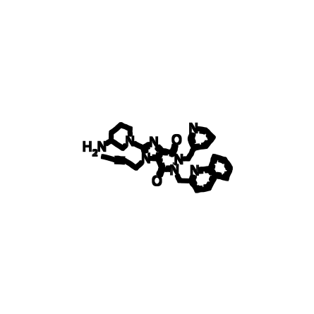 CC#CCn1c(N2CCCC(N)C2)nc2c(=O)n(Cc3cccnc3)n(Cc3ccc4ccccc4n3)c(=O)c21